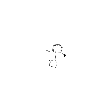 Fc1cccc(F)c1C1CCCN1